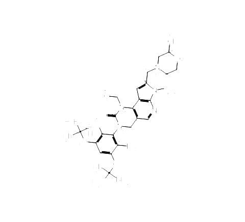 BC(B)(B)Oc1cc(OC(B)(B)B)c(F)c(N2Cc3cnc4c(cc(CN5CCOC(C)C5)n4P)c3N(CC)C2=O)c1F